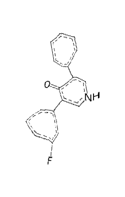 O=c1c(-c2ccccc2)c[nH]cc1-c1cccc(F)c1